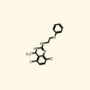 CC1NC(NCCOc2ccccc2)=Nc2c(Cl)ccc(Cl)c21